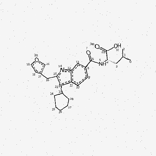 CC(C)C[C@H](NC(=O)c1ccc2c(c1)nc(Cc1ccoc1)n2C1CCCCC1)C(=O)O